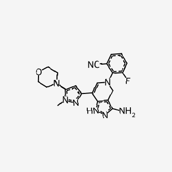 Cn1nc(C2=CN(c3c(F)cccc3C#N)Cc3c(N)n[nH]c32)cc1N1CCOCC1